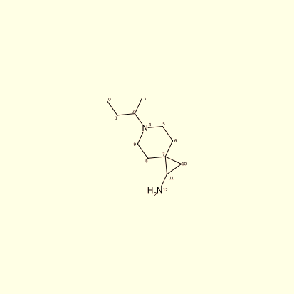 CCC(C)N1CCC2(CC1)CC2N